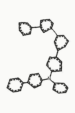 c1ccc(-c2ccc(N(c3ccccc3)c3ccc(-c4cccc(-c5cccc(-c6ccccc6)c5)c4)cc3)cc2)cc1